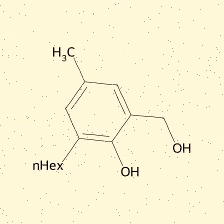 CCCCCCc1cc(C)cc(CO)c1O